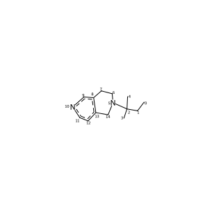 CCC(C)(C)N1CCc2cnccc2C1